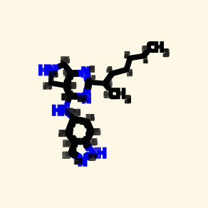 CCCCCC(C)c1nc2c(c(Nc3ccc4[nH]ncc4c3)n1)CNC2